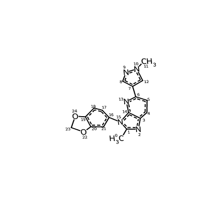 Cc1nc2ccc(-c3cnn(C)c3)nc2n1-c1ccc2c(c1)OCO2